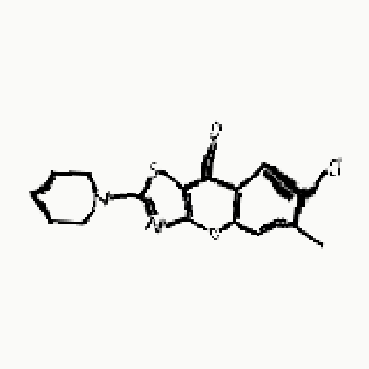 Cc1cc2oc3nc(N4CCCCC4)sc3c(=O)c2cc1Cl